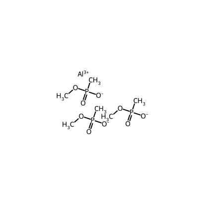 COP(C)(=O)[O-].COP(C)(=O)[O-].COP(C)(=O)[O-].[Al+3]